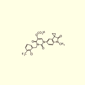 CN1C(=O)C2(CC2)c2cc(-n3cc(OC(=O)O)c(=O)n(Cc4cccc(C(F)(F)F)c4Cl)c3=O)ccc21